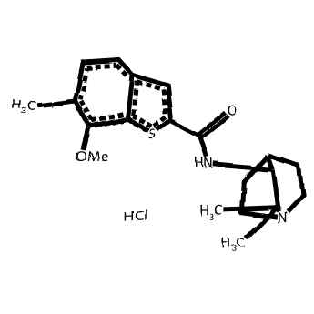 COc1c(C)ccc2cc(C(=O)NC3C4CCN(CC4)C3(C)C)sc12.Cl